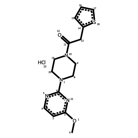 COc1ccnc(N2CCN(C(=O)Cc3cccs3)CC2)n1.Cl